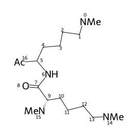 CNCCCCC(NC(=O)[C@H](CCCCNC)NC)C(C)=O